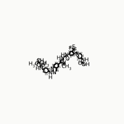 Cn1nc(NC(=O)Nc2ccc(CN3CCC(NC(=O)O)CC3)c(C(F)(F)F)c2)cc1-c1ccc2nc(NC3CCC(NC(=O)OC(C)(C)C)CC3)ncc2c1